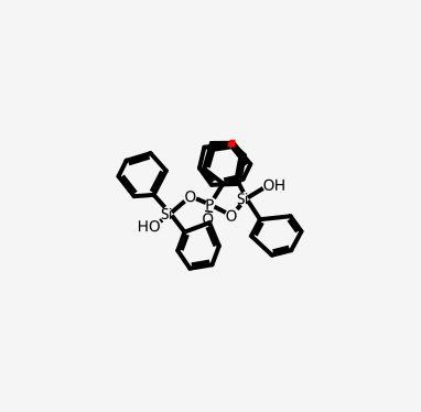 O=P(O[Si](O)(c1ccccc1)c1ccccc1)(O[Si](O)(c1ccccc1)c1ccccc1)c1ccccc1